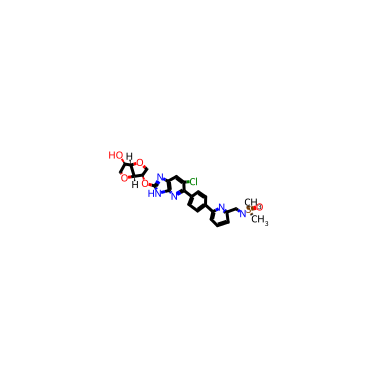 CS(C)(=O)=NCc1cccc(-c2ccc(-c3nc4[nH]c(O[C@@H]5CO[C@H]6[C@@H]5OC[C@H]6O)nc4cc3Cl)cc2)n1